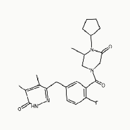 Cc1c(Cc2ccc(F)c(C(=O)N3CC(=O)N(C4CCCC4)C(C)C3)c2)n[nH]c(=O)c1C